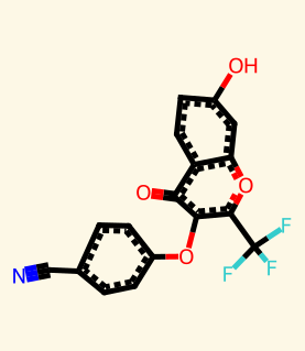 N#Cc1ccc(Oc2c(C(F)(F)F)oc3cc(O)ccc3c2=O)cc1